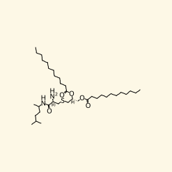 CCCCCCCCCCCC(=O)OC[C@H](CSC[C@H](N)C(=O)NC(C)CCC(C)C)OC(=O)CCCCCCCCCCC